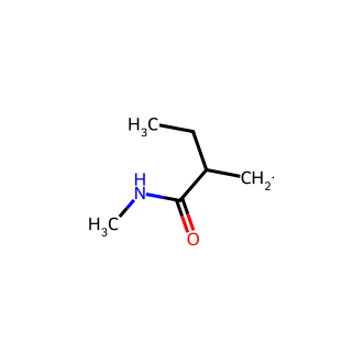 [CH2]C(CC)C(=O)NC